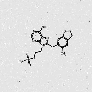 Cc1cc2c(cc1Sc1nc3c(N)ncnc3n1CCOS(C)(=O)=O)OCO2